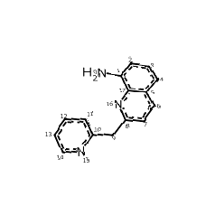 Nc1cccc2ccc(Cc3ccccn3)nc12